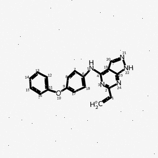 C=Cc1nc(Nc2ccc(Oc3ccccc3)cc2)c2cn[nH]c2n1